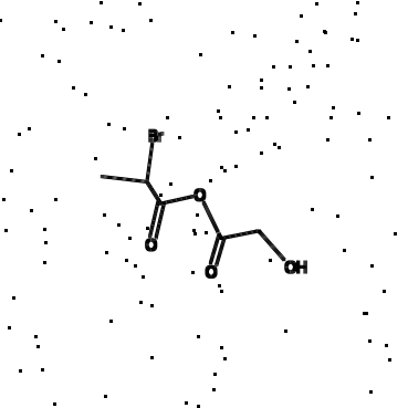 CC(Br)C(=O)OC(=O)CO